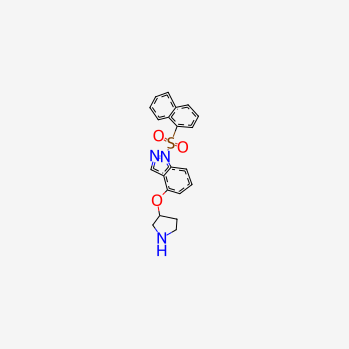 O=S(=O)(c1cccc2ccccc12)n1ncc2c(OC3CCNC3)cccc21